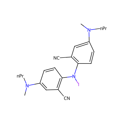 CCCN(C)c1ccc(N(I)c2ccc(N(C)CCC)cc2C#N)c(C#N)c1